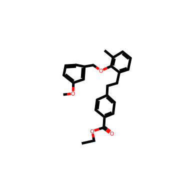 CCOC(=O)c1ccc(CCc2cccc(C)c2OCc2cccc(OC)c2)cc1